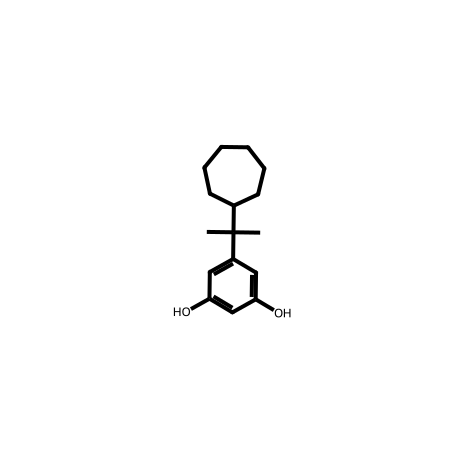 CC(C)(c1cc(O)cc(O)c1)C1CCCCCC1